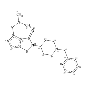 CN(C)Cc1ncc2n1C(=O)N(C1CCN(Cc3ccccc3)CC1)C2